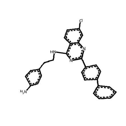 Nc1ccc(CCNc2nc(-c3ccc(-c4ccccc4)cc3)nc3cc(Cl)ccc23)cc1